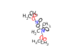 C=Cc1c(C(=C)c2ccc3c(c2)c2ccccc2n3CCOC(=O)C(=C)C)n(CCOC(=O)C(=C)C)c2ccccc12